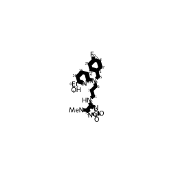 CCO.CNC1=NS(=O)(=O)N=C1NCCCN(Cc1ccc(F)cc1)c1ccccn1